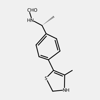 CC1=C(c2ccc([C@@H](C)NC=O)cc2)SCN1